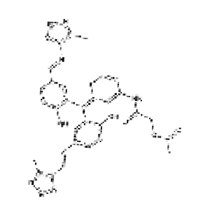 CC(=O)OCC(=O)NC1=CC(=C(c2cc(C=Nn3nnnc3C)ccc2O)c2cc(C=Nn3nnnc3C)ccc2O)CC=C1